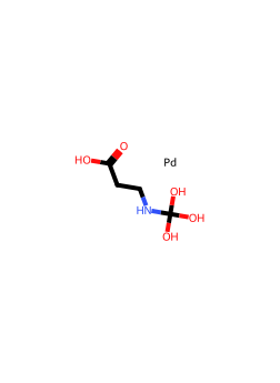 O=C(O)CCNC(O)(O)O.[Pd]